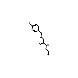 C=CCNC(=O)COCc1ccc(F)cc1